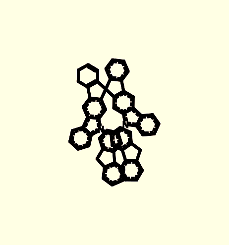 C1=CC2=C(CC1)c1cc3c4ccccc4n(-c4ccc5c(c4)-c4ccccc4C5)c3cc1C21c2ccccc2-c2cc3c4ccccc4n(-c4ccc5c(c4)-c4ccccc4C5)c3cc21